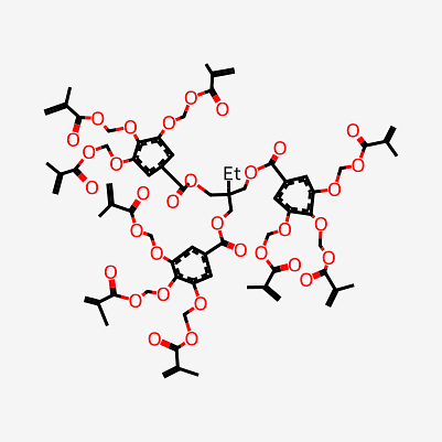 C=C(C)C(=O)OCOc1cc(C(=O)OCC(CC)(COC(=O)c2cc(OCOC(=O)C(=C)C)c(OCOC(=O)C(=C)C)c(OCOC(=O)C(=C)C)c2)COC(=O)c2cc(OCOC(=O)C(=C)C)c(OCOC(=O)C(=C)C)c(OCOC(=O)C(=C)C)c2)cc(OCOC(=O)C(=C)C)c1OCOC(=O)C(=C)C